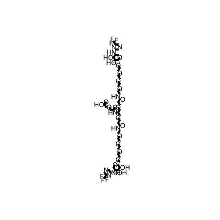 O=C(O)COCC(=O)NC(COCCC(=O)NCCOCCOCCOCCOC[C@H]1OC[C@H](Nc2cncc(C(F)(F)F)n2)[C@@H](O)[C@H]1O)COCCC(=O)NCCOCCOCCOCCOC[C@H]1OC[C@H](Nc2cncc(C(F)(F)F)n2)[C@@H](O)[C@H]1O